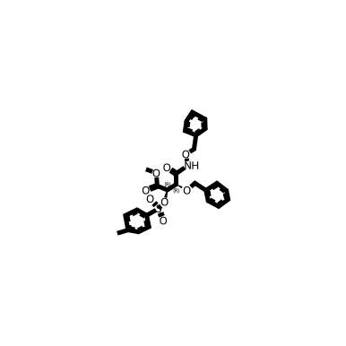 COC(=O)[C@H](OS(=O)(=O)c1ccc(C)cc1)[C@@H](OCc1ccccc1)C(=O)NOCc1ccccc1